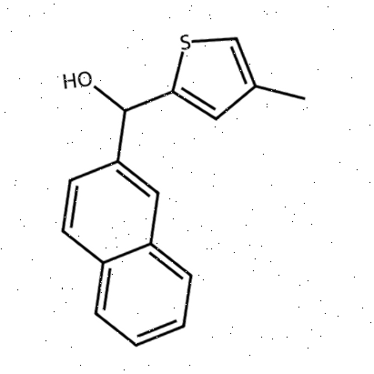 Cc1csc(C(O)c2ccc3ccccc3c2)c1